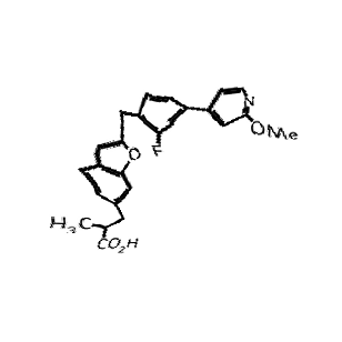 COc1cc(-c2ccc(CC3Cc4ccc(CC(C)C(=O)O)cc4O3)c(F)c2)ccn1